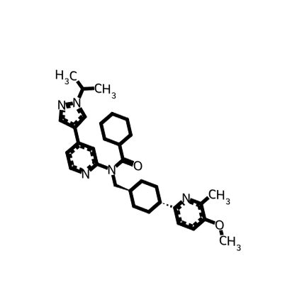 COc1ccc([C@H]2CC[C@H](CN(C(=O)C3CCCCC3)c3cc(-c4cnn(C(C)C)c4)ccn3)CC2)nc1C